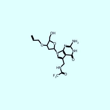 C=CCOC1CC(n2cc(CNC(=O)C(F)(F)F)c3c(=O)[nH]c(N)nc32)OC1CO